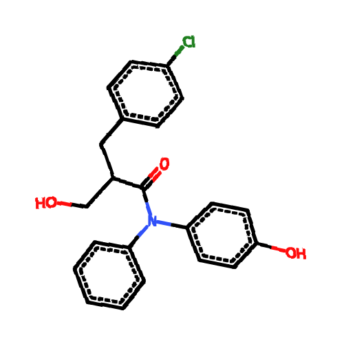 O=C(C(CO)Cc1ccc(Cl)cc1)N(c1ccccc1)c1ccc(O)cc1